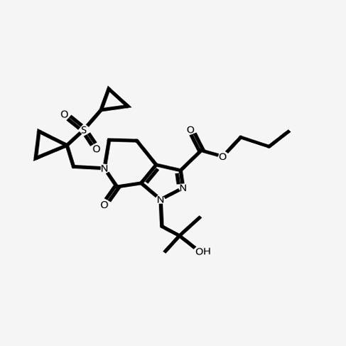 CCCOC(=O)c1nn(CC(C)(C)O)c2c1CCN(CC1(S(=O)(=O)C3CC3)CC1)C2=O